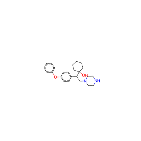 OC1(C(CN2CCNCC2)c2ccc(Oc3ccccc3)cc2)CCCCC1